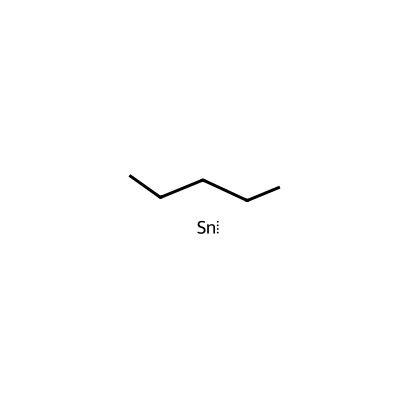 CCCCC.[Sn]